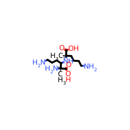 C[C@](CCCCN)(NC(CCCN)[C@](C)(N)C(=O)O)C(=O)O